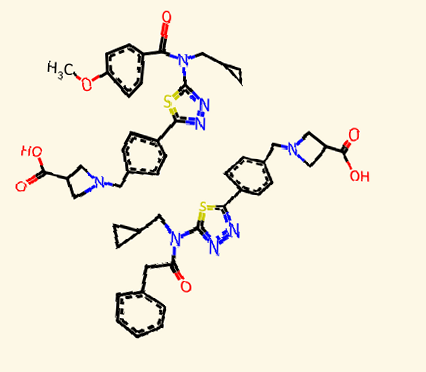 COc1ccc(C(=O)N(CC2CC2)c2nnc(-c3ccc(CN4CC(C(=O)O)C4)cc3)s2)cc1.O=C(O)C1CN(Cc2ccc(-c3nnc(N(CC4CC4)C(=O)Cc4ccccc4)s3)cc2)C1